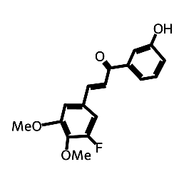 COc1cc(/C=C/C(=O)c2cccc(O)c2)cc(F)c1OC